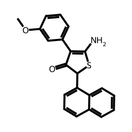 COc1cccc(C2=C(N)SC(c3cccc4ccccc34)C2=O)c1